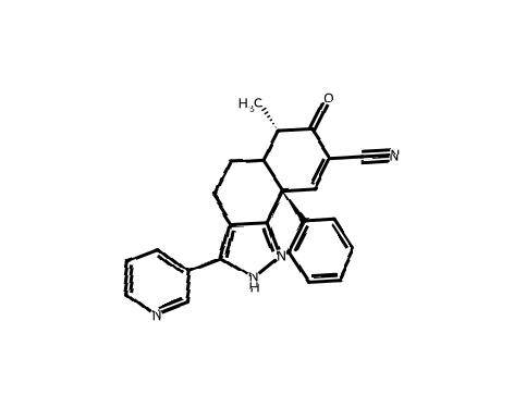 C[C@@H]1C(=O)C(C#N)=C[C@]2(c3ccccc3)c3n[nH]c(-c4cccnc4)c3CCC12